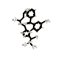 C=CCC(C)NCc1nnc(C(CC)N(C)C)n1-c1ccc([N+](=O)[O-])cc1C(=O)c1ccccc1